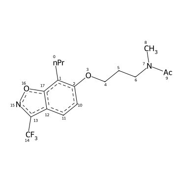 CCCc1c(OCCCN(C)C(C)=O)ccc2c(C(F)(F)F)noc12